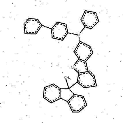 CC1(c2cccc3c2oc2cc(N(c4ccccc4)c4ccc(-c5ccccc5)cc4)ccc23)c2ccccc2-c2ccccc21